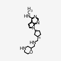 CNc1ncnc2c1ccn2[C@H]1CC[C@@H](CNCC2CNCCO2)C1